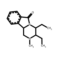 CCC1C(CC)N2C(=O)c3ccccc3C2CN1C